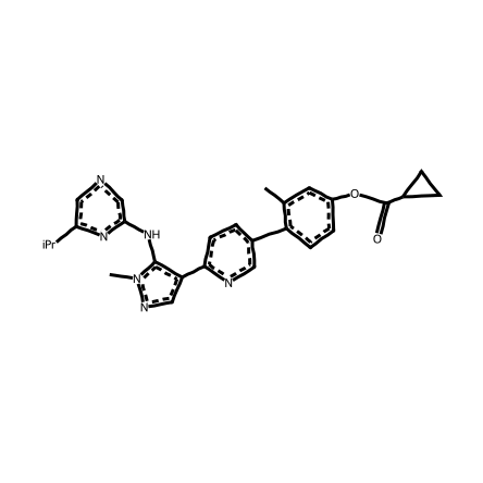 Cc1cc(OC(=O)C2CC2)ccc1-c1ccc(-c2cnn(C)c2Nc2cncc(C(C)C)n2)nc1